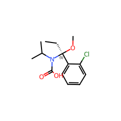 CC[C@](OC)(c1ccccc1Cl)N(C(=O)O)C(C)C